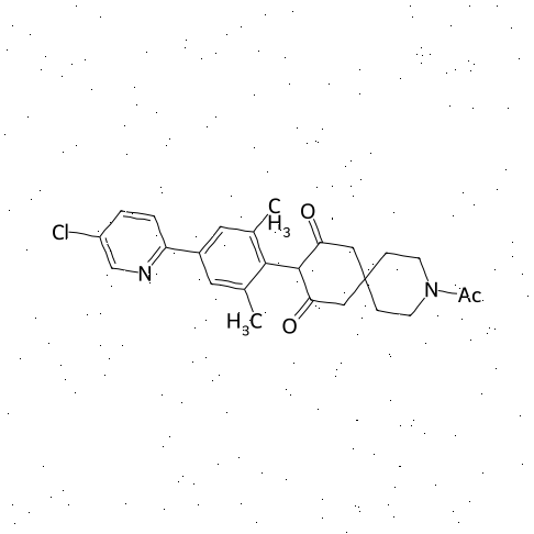 CC(=O)N1CCC2(CC1)CC(=O)C(c1c(C)cc(-c3ccc(Cl)cn3)cc1C)C(=O)C2